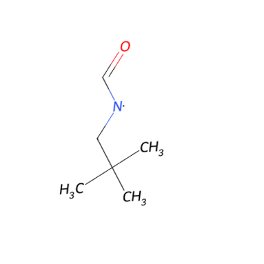 CC(C)(C)C[N]C=O